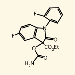 CCOC(=O)C1(OC(N)=O)C(=O)N(c2ccccc2F)c2ccc(F)cc21